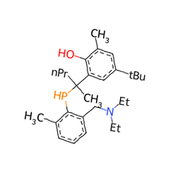 CCCC(C)(Pc1c(C)cccc1CN(CC)CC)c1cc(C(C)(C)C)cc(C)c1O